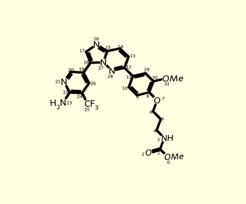 COC(=O)NCCCOc1ccc(-c2ccc3ncc(-c4cnc(N)c(C(F)(F)F)c4)n3n2)cc1OC